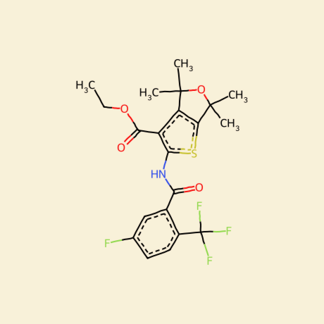 CCOC(=O)c1c(NC(=O)c2cc(F)ccc2C(F)(F)F)sc2c1C(C)(C)OC2(C)C